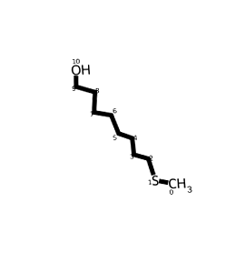 CSCCCCCCCCO